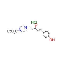 CCOC(=O)N1CCN(CCC(=O)C=Cc2ccc(O)cc2)CC1.Cl